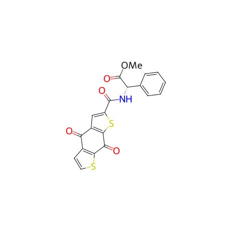 COC(=O)[C@@H](NC(=O)c1cc2c(s1)C(=O)c1sccc1C2=O)c1ccccc1